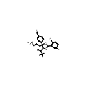 CC(C)(C)C(=O)N1N=C(c2cc(F)ccc2F)OC1(CCCN)c1ccc(C#N)cc1